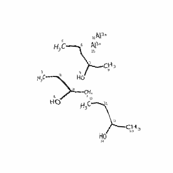 CCC(C)O.CCC(C)O.CCC(C)O.[Al+3].[Al+3]